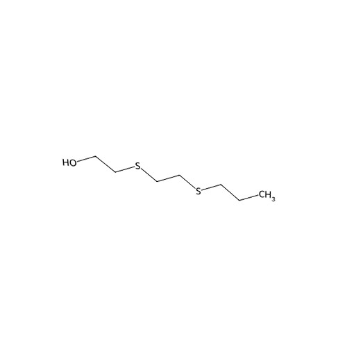 CCCSCCSCCO